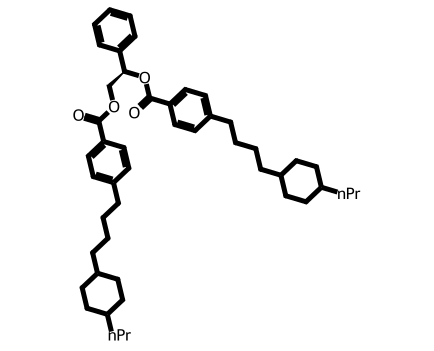 CCCC1CCC(CCCCc2ccc(C(=O)OC[C@H](OC(=O)c3ccc(CCCCC4CCC(CCC)CC4)cc3)c3ccccc3)cc2)CC1